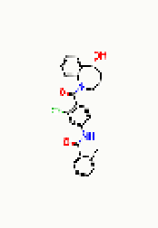 Cc1ccccc1C(=O)Nc1ccc(C(=O)N2CCCC(O)c3ccccc32)c(Cl)c1